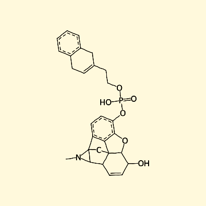 CN1C2C3C=CC(O)C4Oc5c(OP(=O)(O)OCCC6=CCc7ccccc7C6)ccc6c5C34CC621